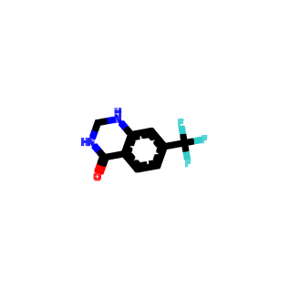 O=C1NCNc2cc(C(F)(F)F)ccc21